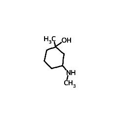 CNC1CCCC(C)(O)C1